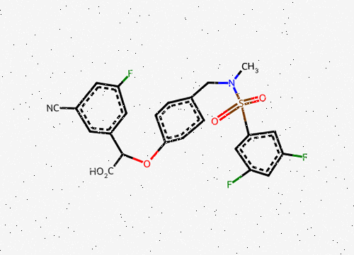 CN(Cc1ccc(OC(C(=O)O)c2cc(F)cc(C#N)c2)cc1)S(=O)(=O)c1cc(F)cc(F)c1